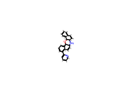 c1ccc(-c2cccc3c4c(ccc23)Nc2ccc3ccccc3c2O4)nc1